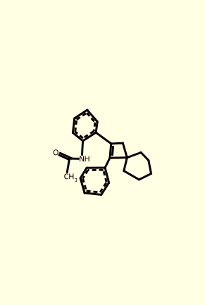 CC(=O)Nc1ccccc1C1=C(c2ccccc2)C2(CCCCC2)C1